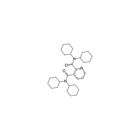 O=C(c1cccnc1C(=O)N(C1CCCCC1)C1CCCCC1)N(C1CCCCC1)C1CCCCC1